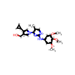 COc1cc(Nc2ncc(C)c(-n3cc(CO)c(C4CC4)c3)n2)cc(OC)c1OC